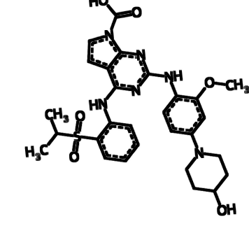 COc1cc(N2CCC(O)CC2)ccc1Nc1nc(Nc2ccccc2S(=O)(=O)C(C)C)c2ccn(C(=O)O)c2n1